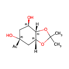 CC(=O)[C@@]1(O)C[C@@H](O)[C@@H]2OC(C)(C)O[C@@H]2C1